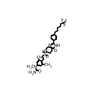 Cc1cc(N(C)C(N)=O)cc(C)c1CCS(=O)(=O)N1CCC2(CC1)N=C(c1ccc(CCCCCC(F)(F)F)cc1)NC2=O